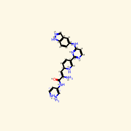 N/C=C\C(=C/N)NC(=O)/C(N)=C/C1C=CC(c2nccc(Nc3ccc4[nH]ncc4c3)n2)=CN1